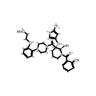 CCC[C@H]1N(C(=O)c2ccccc2C#N)CCC[C@@]1(Oc1csc(C(F)(F)F)c1)C(=O)N1CCN(c2ccccc2OCCOC)CC1